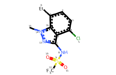 CCc1ccc(Cl)c2c(NS(=O)(=O)C(F)(F)F)nn(C)c12